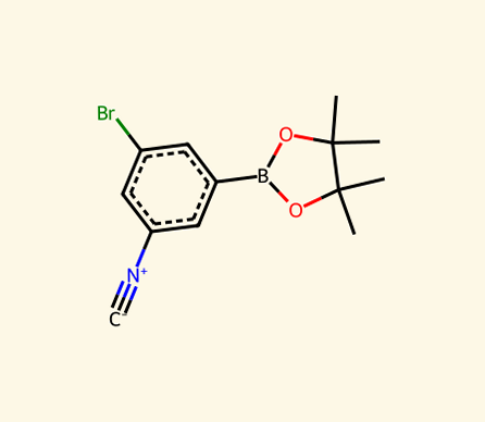 [C-]#[N+]c1cc(Br)cc(B2OC(C)(C)C(C)(C)O2)c1